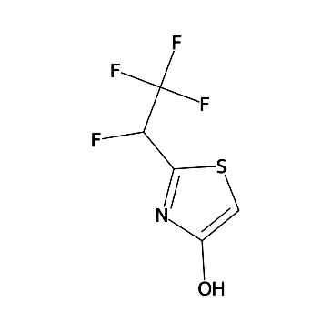 Oc1csc(C(F)C(F)(F)F)n1